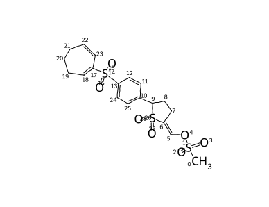 CS(=O)(=O)O/C=C1\CCC(c2ccc(S(=O)(=O)C3=CCCCC=C3)cc2)S1(=O)=O